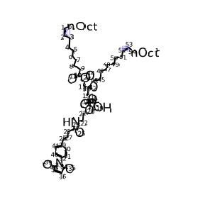 CCCCCCCC/C=C\CCCCCCCC(=O)OC[C@H](COP(=O)(O)OCCNC(=O)CCCc1ccc(N2C(=O)C=CC2=O)cc1)OC(=O)CCCCCCC/C=C\CCCCCCCC